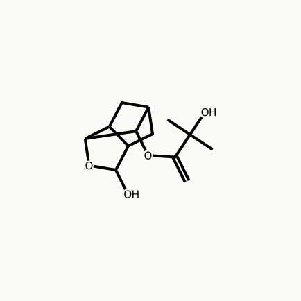 C=C(OC1C2CC3C(O)OC1C3C2)C(C)(C)O